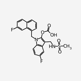 CS(=O)(=O)NCc1c(OC(=O)O)n(Cc2cccc3ccc(F)cc23)c2ccc(F)cc12